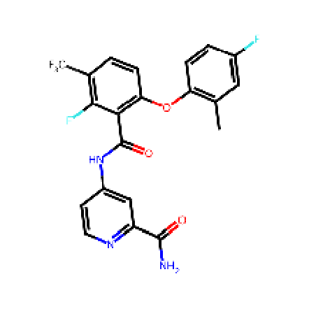 Cc1cc(F)ccc1Oc1ccc(C(F)(F)F)c(F)c1C(=O)Nc1ccnc(C(N)=O)c1